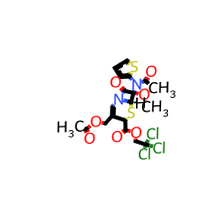 COC1(N(C(C)=O)c2cccs2)C(=O)N2C=C(COC(C)=O)C(C(=O)OCC(Cl)(Cl)Cl)S[C@@H]21